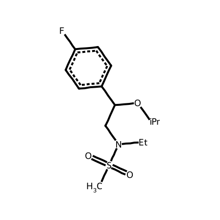 CCN(CC(OC(C)C)c1ccc(F)cc1)S(C)(=O)=O